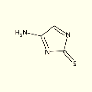 NC1=NC(=S)N=C1